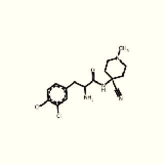 CN1CCC(C#N)(NC(=O)C(N)Cc2ccc(Cl)c(Cl)c2)CC1